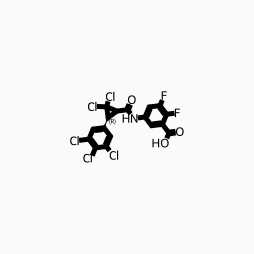 O=C(O)c1cc(NC(=O)C2[C@H](c3cc(Cl)c(Cl)c(Cl)c3)C2(Cl)Cl)cc(F)c1F